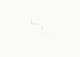 CCCCCC(=O)ON=[N+]=[N-].O=C(O)O